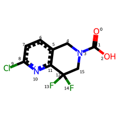 O=C(O)N1Cc2ccc(Cl)nc2C(F)(F)C1